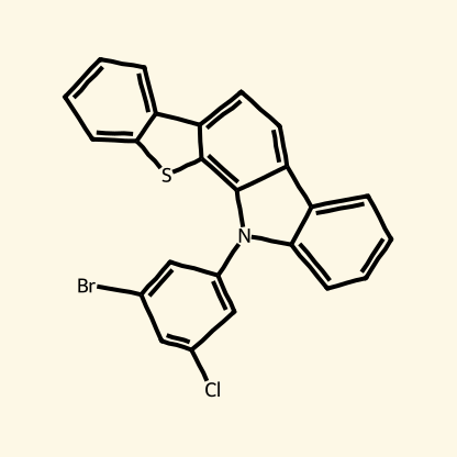 Clc1cc(Br)cc(-n2c3ccccc3c3ccc4c5ccccc5sc4c32)c1